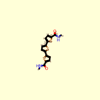 CNC(=O)c1ccc(-c2ccc(-c3ccc(C(=O)NC)s3)s2)s1